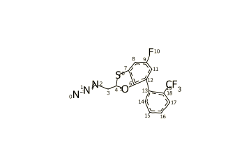 [N-]=[N+]=NCC1Oc2c(cc(F)cc2-c2ccccc2C(F)(F)F)S1